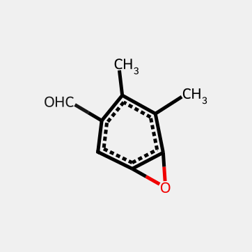 Cc1c(C=O)cc2c(c1C)O2